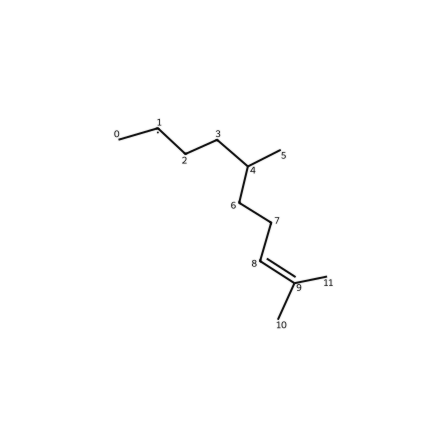 C[CH]CCC(C)CCC=C(C)C